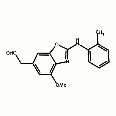 COc1cc(CC=O)cc2oc(Nc3ccccc3C)nc12